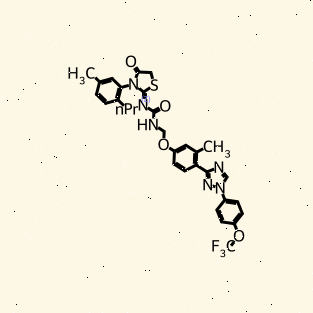 CCCc1ccc(C)cc1N1C(=O)CS/C1=N\C(=O)NCOc1ccc(-c2ncn(-c3ccc(OC(F)(F)F)cc3)n2)c(C)c1